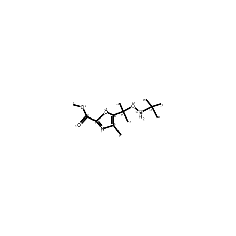 COC(=O)c1nc(C)c(C(C)(C)O[SiH2]C(C)(C)C)o1